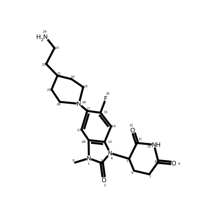 Cn1c(=O)n(C2CCC(=O)NC2=O)c2cc(F)c(N3CCC(CCN)CC3)cc21